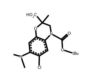 CN(C)c1cc2c(cc1Cl)N(C(=O)OC(C)(C)C)CC(C)(C(=O)O)O2